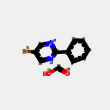 Brc1cnc(-c2ccccc2)nc1.O=CO